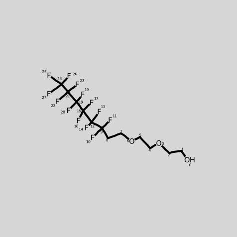 OCCOCCOCCC(F)(F)C(F)(F)C(F)(F)C(F)(F)C(F)(F)C(F)(F)F